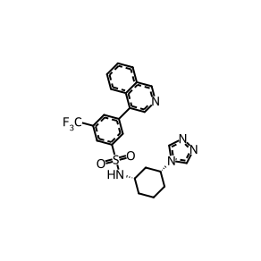 O=S(=O)(N[C@H]1CCC[C@@H](n2cnnc2)C1)c1cc(-c2cncc3ccccc23)cc(C(F)(F)F)c1